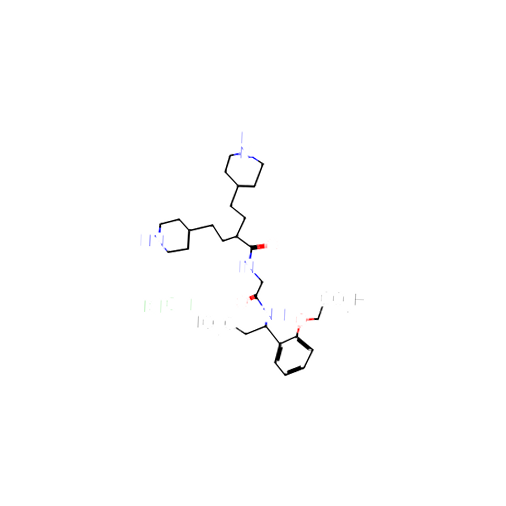 Cl.Cl.O=C(O)COc1ccccc1C(CC(=O)O)NC(=O)CNC(=O)C(CCC1CCNCC1)CCC1CCNCC1